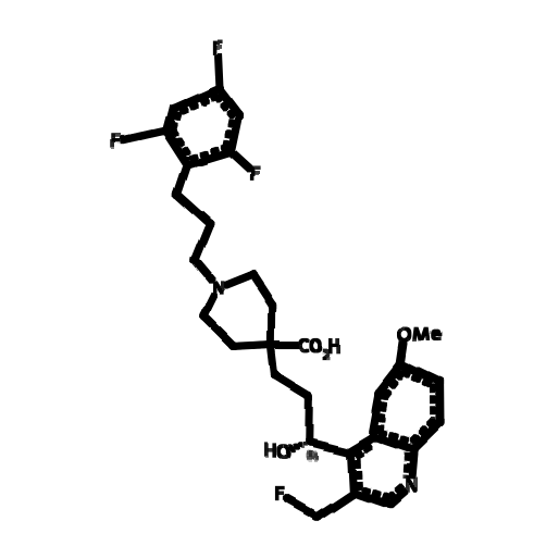 COc1ccc2ncc(CF)c([C@H](O)CCC3(C(=O)O)CCN(CCCc4c(F)cc(F)cc4F)CC3)c2c1